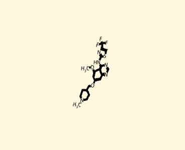 COc1cc(OCC2CCN(C)CC2)cc2ncnc(Nc3nc(C(F)(F)F)cs3)c12